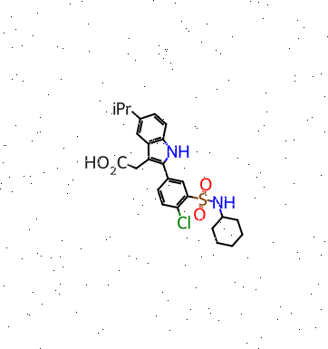 CC(C)c1ccc2[nH]c(-c3ccc(Cl)c(S(=O)(=O)NC4CCCCC4)c3)c(CC(=O)O)c2c1